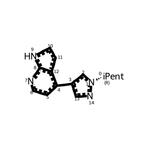 CCC[C@@H](C)n1cc(-c2ccnc3[nH]ccc23)cn1